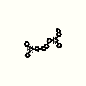 c1ccc(-c2cc(-c3ccc4ccccc4c3)nc(-c3cccc(-c4ccc5ccc(-c6ccc(-c7nc(-c8ccccc8)nc(-c8ccccc8)n7)cc6)cc5c4)c3)n2)cc1